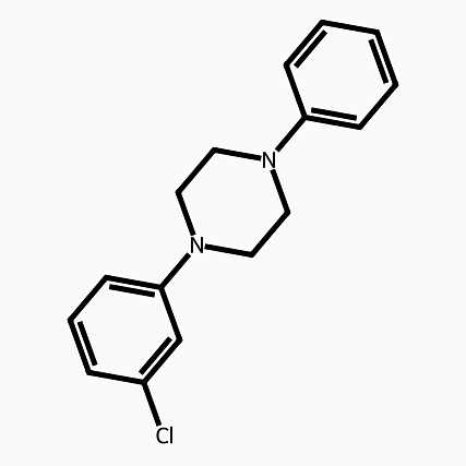 Clc1cccc(N2CCN(c3ccccc3)CC2)c1